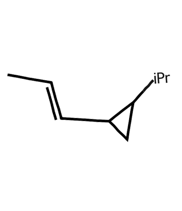 CC=CC1CC1C(C)C